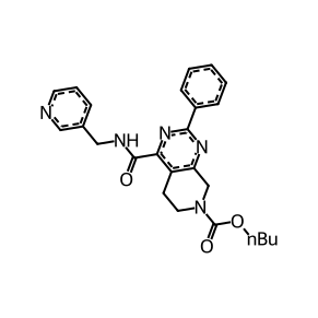 CCCCOC(=O)N1CCc2c(nc(-c3ccccc3)nc2C(=O)NCc2cccnc2)C1